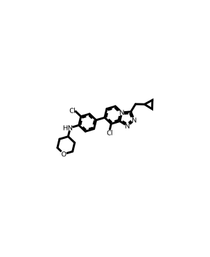 Clc1cc(-c2ccn3c(CC4CC4)nnc3c2Cl)ccc1NC1CCOCC1